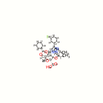 CC[Si](CC)(CC)OC1[C@@H](n2cc(-c3cccc(F)c3)nn2)[C@H]2O[C@@H](c3ccccc3)OC[C@H]2O[C@H]1C(=O)O